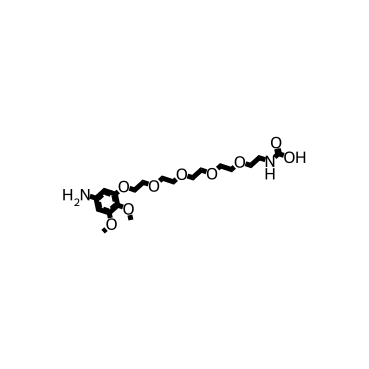 COc1cc(N)cc(OCCOCCOCCOCCOCCNC(=O)O)c1OC